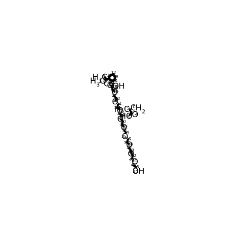 C=C(C)C(=O)O.CC(C)(C)c1ccccc1OC(O)COCCOCCOCCOCCOCCOCCOCCOCCOCCO